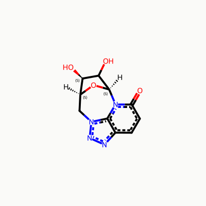 O=c1ccc2nnn3c2n1[C@H]1O[C@@H](C3)[C@@H](O)C1O